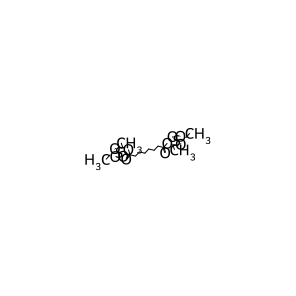 CCOS(=O)(=O)C(C)OC(=O)CCCCCCC(=O)OC(C)S(=O)(=O)OCC